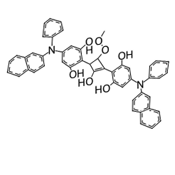 COOC1C(c2c(O)cc(N(c3ccccc3)c3ccc4ccccc4c3)cc2O)=C(O)C1c1c(O)cc(N(c2ccccc2)c2ccc3ccccc3c2)cc1O